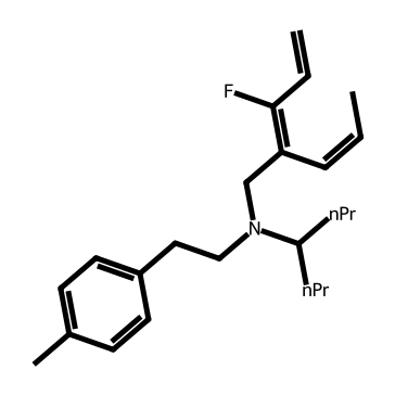 C=C/C(F)=C(\C=C/C)CN(CCc1ccc(C)cc1)C(CCC)CCC